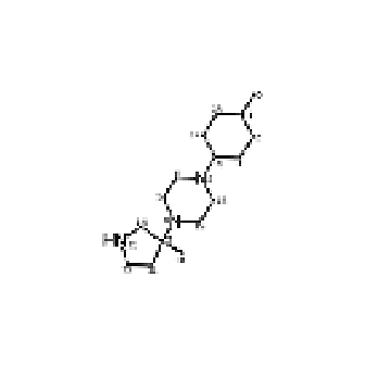 CC1CCC(N2CCN([C@]3(C)CCNC3)CC2)CC1